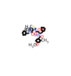 COc1ccc(C(=O)NC(Cc2ccccc2)C(O)C(=O)N2CSC(C)(C)C2C(=O)NCc2ccccc2C)c(C)c1